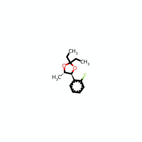 CCC1(CC)O[C@@H](C)[C@H](c2ccccc2F)O1